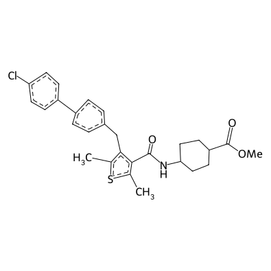 COC(=O)C1CCC(NC(=O)c2c(C)sc(C)c2Cc2ccc(-c3ccc(Cl)cc3)cc2)CC1